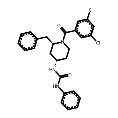 O=C(Nc1ccccc1)N[C@H]1CCN(C(=O)c2cc(Cl)cc(Cl)c2)[C@H](Cc2ccccc2)C1